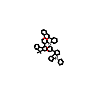 CC1(C)c2ccccc2-c2c(-c3ccccc3N(c3cccc(-c4cccc5c4c4ccccc4n5-c4ccccc4)c3)c3ccccc3-c3ccc4ccccc4c3)cccc21